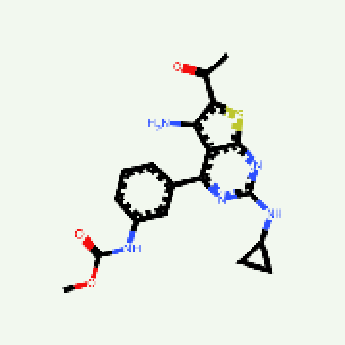 COC(=O)Nc1cccc(-c2nc(NC3CC3)nc3sc(C(C)=O)c(N)c23)c1